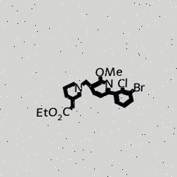 CCOC(=O)CC1CCCN(Cc2ccc(-c3cccc(Br)c3Cl)nc2OC)C1